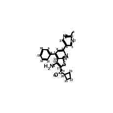 Cc1ncc(-c2cc(-c3ccccc3)c3c(N)c([S+]([O-])C4CCC4)sc3n2)cn1